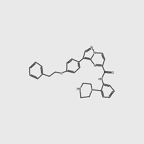 O=C(Nc1ccccc1N1CCNCC1)c1ccn2ncc(-c3ccc(OCCc4ccccc4)cc3)c2n1